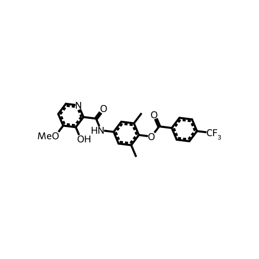 COc1ccnc(C(=O)Nc2cc(C)c(OC(=O)c3ccc(C(F)(F)F)cc3)c(C)c2)c1O